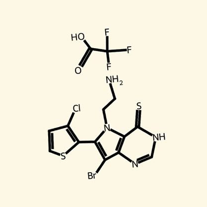 NCCn1c(-c2sccc2Cl)c(Br)c2nc[nH]c(=S)c21.O=C(O)C(F)(F)F